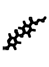 COCOC(=O)c1c(C)c(C)c(OC(=O)c2c(C)cc(O)c(C)c2C)c(C)c1C